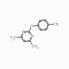 Cc1cc(C(F)(F)F)nc(Oc2ccc(C#N)cc2)n1